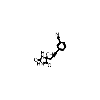 CC1(CC#Cc2cccc(C#N)c2)NC(=O)NC1=O